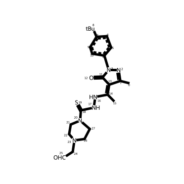 CC1=NN(c2ccc(C(C)(C)C)cc2)C(=O)/C1=C(/C)NNC(=S)N1CCN(CC=O)CC1